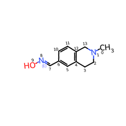 CN1CCc2cc(/C=N/O)ccc2C1